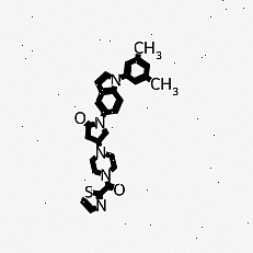 Cc1cc(C)cc(-n2ccc3cc(N4CC(N5CCN(C(=O)c6nccs6)CC5)CC4=O)ccc32)c1